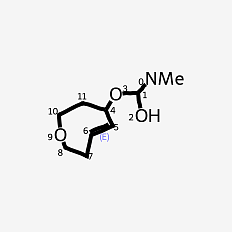 CNC(O)OC1/C=C/CCOCC1